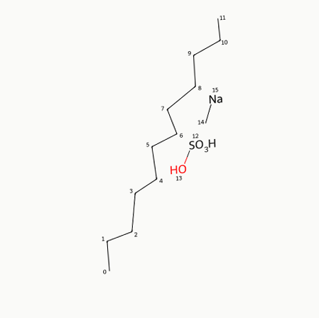 CCCCCCCCCCCC.O=S(=O)(O)O.[CH3][Na]